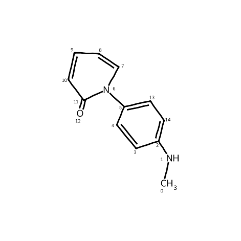 CNc1ccc(-n2ccccc2=O)cc1